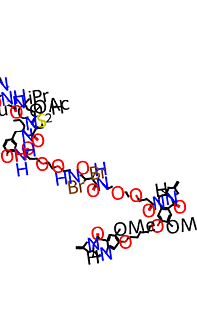 C=C1C[C@H]2CN(C(=O)CCOCCOCCNC(=O)C(Br)C(Br)C(=O)NCCOCCOCCC(=O)Nc3cc(C[C@@H](CC(C)C(=O)O)NC(=O)c4csc([C@@H](CC(C(C)C)N(C)C(=O)[C@@H](NC(=O)[C@H]5CCCCN5C)[C@@H](C)CC)OC(C)=O)n4)ccc3O)c3cc(OCCCCCOc4cc5c(cc4OC)C(=O)N4CC(=C)C[C@H]4C=N5)c(OC)cc3C(=O)N2C1